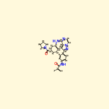 C=C(C)C(=O)Nc1ccc(-c2nn3ccnc(N)c3c2C2=CC[C@@H](C(=O)N3CCCC3)CC2)cc1